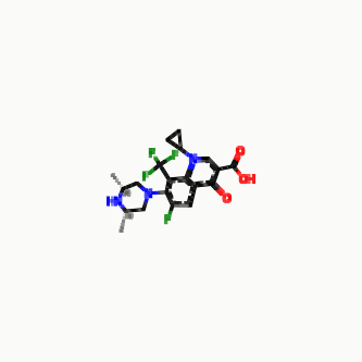 C[C@@H]1CN(c2c(F)cc3c(=O)c(C(=O)O)cn(C4CC4)c3c2C(F)(F)F)C[C@H](C)N1